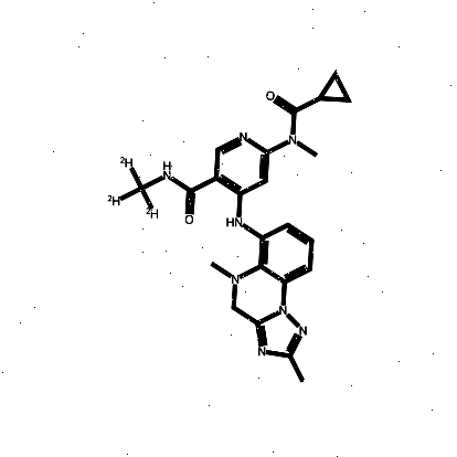 [2H]C([2H])([2H])NC(=O)c1cnc(N(C)C(=O)C2CC2)cc1Nc1cccc2c1N(C)Cc1nc(C)nn1-2